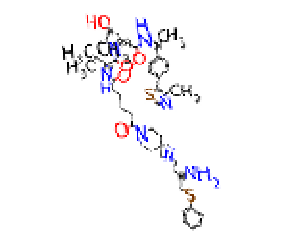 Cc1ncsc1-c1ccc([C@H](C)NC(=O)[C@@H]2C[C@@H](O)CN2C(=O)[C@@H](NC(=O)CCCCC(=O)N2CCC3(CC2)CN(CC[C@@H](N)CSc2ccccc2)C3)C(C)(C)C)cc1